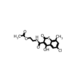 CC(=O)OCCNC(=O)c1c(O)c2cc(Cl)cc(C)c2sc1=O